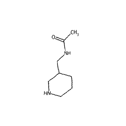 CC(=O)NCC1CCCNC1